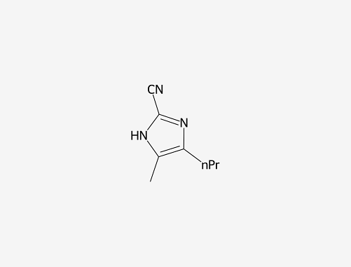 CCCc1nc(C#N)[nH]c1C